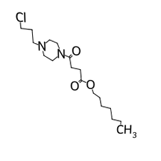 CCCCCCCOC(=O)CCC(=O)N1CCN(CCCCl)CC1